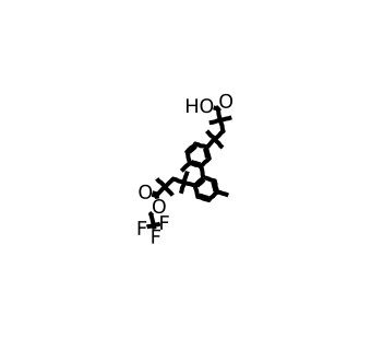 Cc1ccc(C(C)(C)CC(C)(C)C(=O)OCC(F)(F)F)c(-c2cc(C(C)(C)CC(C)(C)C(=O)O)ccc2C)c1